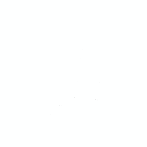 CN(C(=O)OC(C)(C)C)C(Cc1ccc(OC(F)(F)F)cc1)C(=O)O